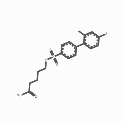 NC(=O)CCCCOS(=O)(=O)c1ccc(-c2ccc(F)cc2F)cc1